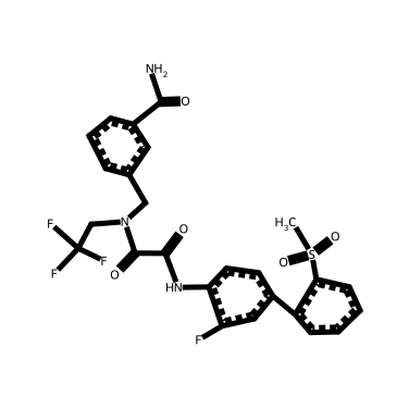 CS(=O)(=O)c1ccccc1-c1ccc(NC(=O)C(=O)N(Cc2cccc(C(N)=O)c2)CC(F)(F)F)c(F)c1